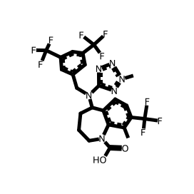 Cc1c(C(F)(F)F)ccc2c1N(C(=O)O)CCCC2N(Cc1cc(C(F)(F)F)cc(C(F)(F)F)c1)c1nnn(C)n1